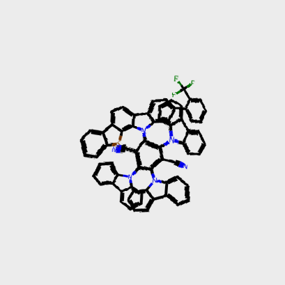 N#Cc1c(-n2c3ccccc3c3ccccc32)c(-n2c3ccccc3c3ccccc32)c(C#N)c(-n2c3cc(-c4ccccc4C(F)(F)F)ccc3c3ccc4c5ccccc5sc4c32)c1-n1c2ccccc2c2ccccc21